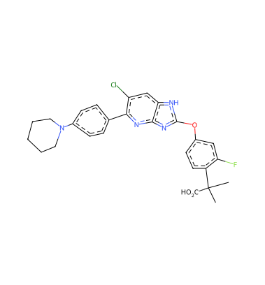 CC(C)(C(=O)O)c1ccc(Oc2nc3nc(-c4ccc(N5CCCCC5)cc4)c(Cl)cc3[nH]2)cc1F